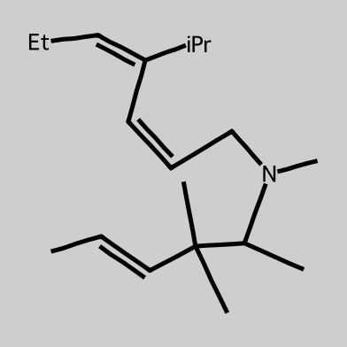 CC=CC(C)(C)C(C)N(C)C/C=C\C(=C/CC)C(C)C